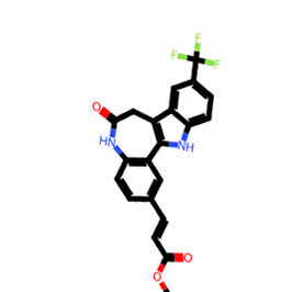 COC(=O)C=Cc1ccc2c(c1)-c1[nH]c3ccc(C(F)(F)F)cc3c1CC(=O)N2